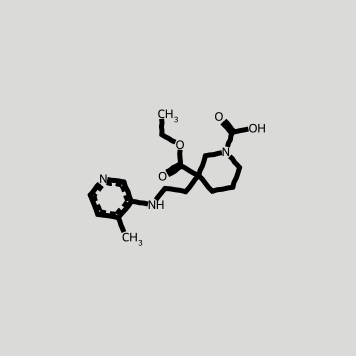 CCOC(=O)C1(CCNc2cnccc2C)CCCN(C(=O)O)C1